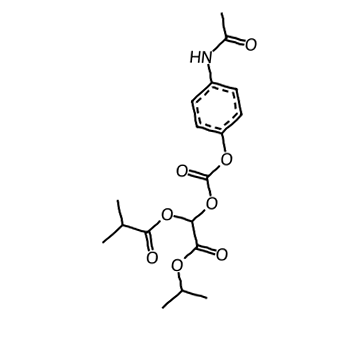 CC(=O)Nc1ccc(OC(=O)OC(OC(=O)C(C)C)C(=O)OC(C)C)cc1